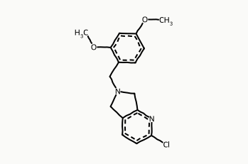 COc1ccc(CN2Cc3ccc(Cl)nc3C2)c(OC)c1